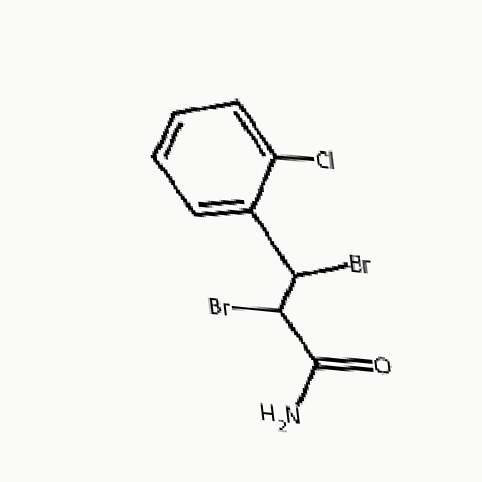 NC(=O)C(Br)C(Br)c1ccccc1Cl